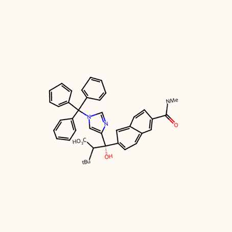 CNC(=O)c1ccc2cc([C@](O)(c3cn(C(c4ccccc4)(c4ccccc4)c4ccccc4)cn3)C(C(=O)O)C(C)(C)C)ccc2c1